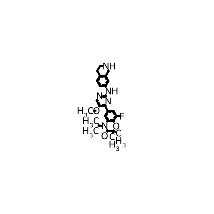 COc1cnc(Nc2ccc3c(c2)CNCC3)nc1-c1cc(F)c2c(c1)N(C(C)C)C(=O)C(C)(C)O2